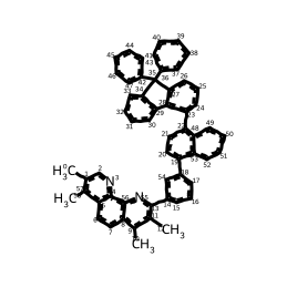 Cc1cnc2c(ccc3c(C)c(C)c(-c4cccc(-c5ccc(-c6cccc7c6-c6ccccc6C7(c6ccccc6)c6ccccc6)c6ccccc56)c4)nc32)c1C